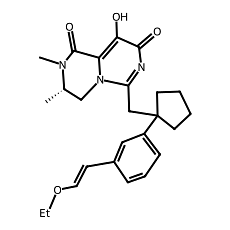 CCO/C=C/c1cccc(C2(Cc3nc(=O)c(O)c4n3C[C@H](C)N(C)C4=O)CCCC2)c1